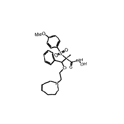 COc1ccc(S(=O)(=O)[C@](C)(C(=O)NO)C(OCCN2CCCCCC2)c2ccccc2)cc1